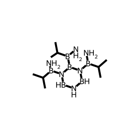 CC(C)B(N)B1N(B(N)C(C)C)BNBN1B(N)C(C)C